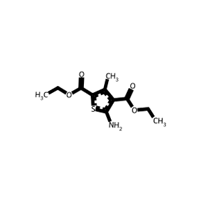 CCOC(=O)c1sc(N)c(C(=O)OCC)c1C